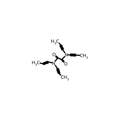 CC#CN(C#CC)C(=O)C(=O)N(C#CC)C#CC